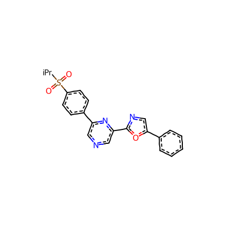 CC(C)S(=O)(=O)c1ccc(-c2cncc(-c3ncc(-c4ccccc4)o3)n2)cc1